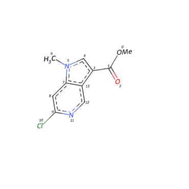 COC(=O)c1cn(C)c2cc(Cl)ncc12